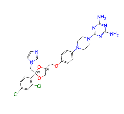 Nc1nc(N)nc(N2CCN(c3ccc(OC[C@@H]4CO[C@@](Cn5ccnc5)(c5ccc(Cl)cc5Cl)O4)cc3)CC2)n1